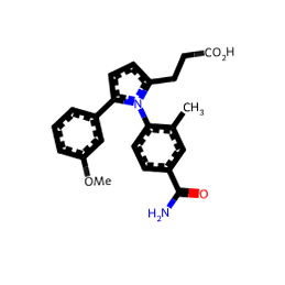 COc1cccc(-c2ccc(CCC(=O)O)n2-c2ccc(C(N)=O)cc2C)c1